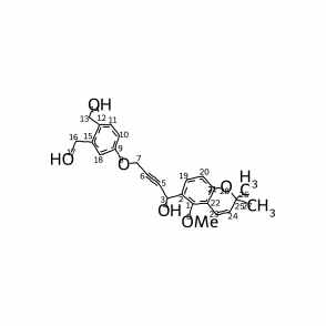 COc1c(C(O)C#CCOc2ccc(CO)c(CO)c2)ccc2c1C=CC(C)(C)O2